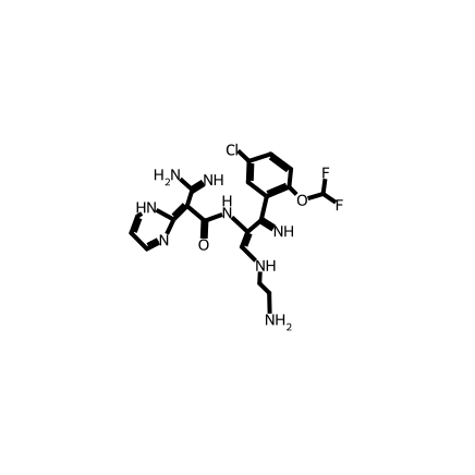 N=C(N)/C(C(=O)N/C(=C/NCCN)C(=N)c1cc(Cl)ccc1OC(F)F)=C1/N=CC=CN1